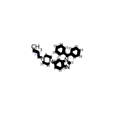 C/C=C/CN1CCN(c2ccc3ncn(C(c4ccccc4)c4ccccc4)c3c2)CC1